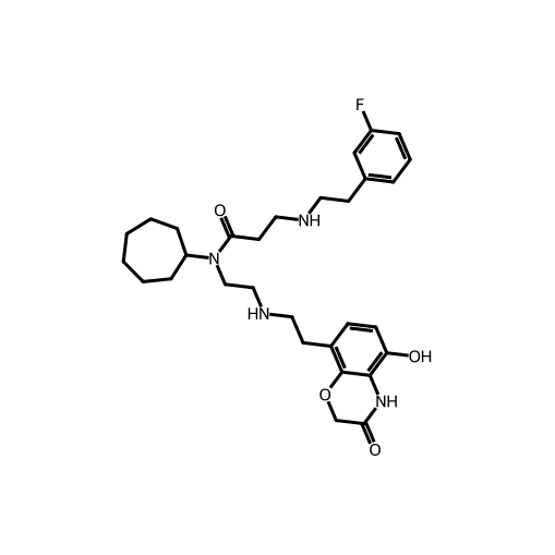 O=C1COc2c(CCNCCN(C(=O)CCNCCc3cccc(F)c3)C3CCCCCC3)ccc(O)c2N1